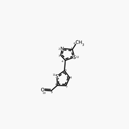 Cc1ncc(-c2ccc(C=O)s2)s1